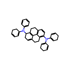 C1=CCCC(N(c2ccccc2)C2CC=C3CCc4c(N(C5=CCCC=C5)C5=CCCC=C5)ccc5c4C3=C2CC5)=C1